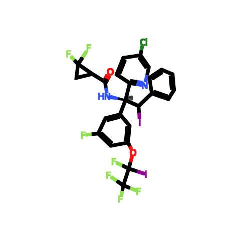 O=C(N[C@@](c1cc(F)cc(OC(F)(I)C(F)(F)F)c1)(c1ccc(Cl)cn1)C(I)c1ccccc1)C1CC1(F)F